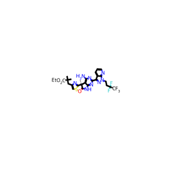 CCOC(=O)C(C)(C)Cc1csc([C@]2(C)C(=O)Nc3nc(-c4nn(CCC(F)(F)C(F)(F)F)c5ncccc45)nc(N)c32)n1